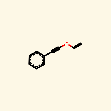 C=COC#Cc1ccccc1